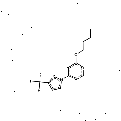 CCCCOc1cccc(-n2ccc(C(F)(F)F)n2)c1